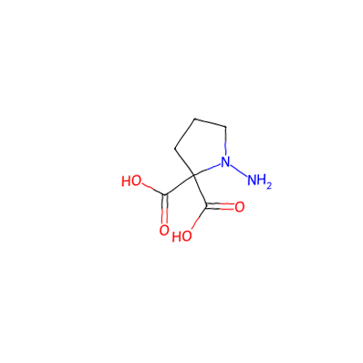 NN1CCCC1(C(=O)O)C(=O)O